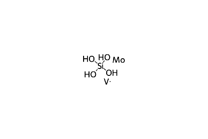 O[Si](O)(O)O.[Mo].[V]